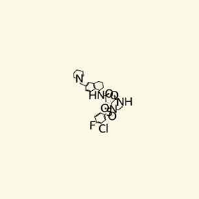 O=C(C[C@@H]1C(=O)NCCN1S(=O)(=O)c1ccc(F)c(Cl)c1)N[C@@H]1CCCc2cc(CN3CCCCC3)ccc21